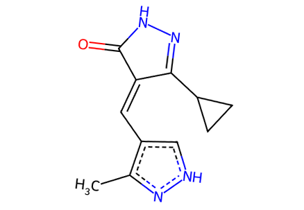 Cc1n[nH]cc1C=C1C(=O)NN=C1C1CC1